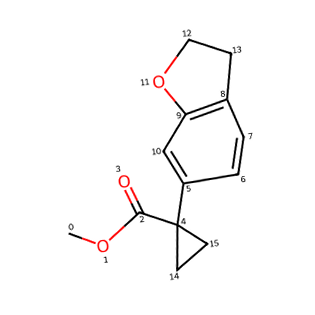 COC(=O)C1(c2ccc3c(c2)OCC3)CC1